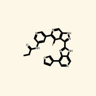 CCC(=O)Nc1cncc(-c2ncc3[nH]nc(-c4nc5c(-c6ccoc6)cncc5[nH]4)c3c2F)c1